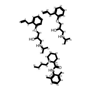 C=CCc1ccccc1OCC(O)CNC(C)C.C=CCc1ccccc1OCC(O)CNC(C)C.CCCCN1CCCCC1C(=O)Nc1c(C)cccc1C